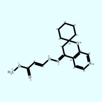 COC(=O)/C=C/O/N=C1\CC2(CCCCC2)Oc2cnccc21